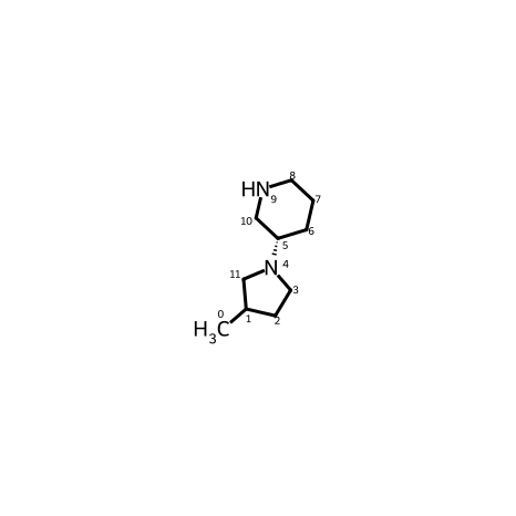 CC1CCN([C@H]2CCCNC2)C1